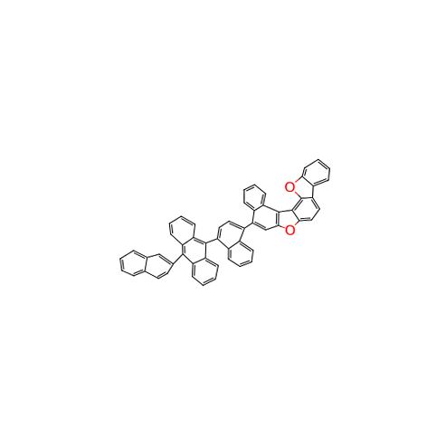 c1ccc2cc(-c3c4ccccc4c(-c4ccc(-c5cc6oc7ccc8c9ccccc9oc8c7c6c6ccccc56)c5ccccc45)c4ccccc34)ccc2c1